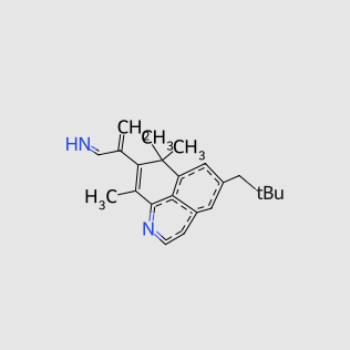 C=C(C=N)C1=C(C)c2nccc3cc(CC(C)(C)C)cc(c23)C1(C)C